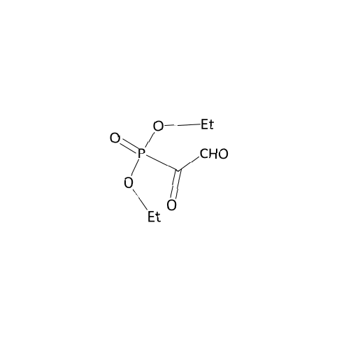 CCOP(=O)(OCC)C(=O)C=O